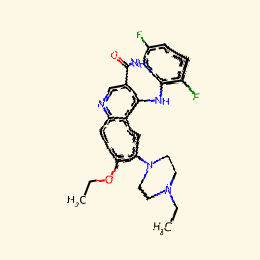 CCOc1cc2ncc(C(N)=O)c(Nc3cc(F)ccc3F)c2cc1N1CCN(CC)CC1